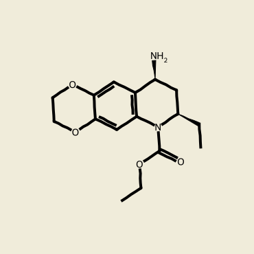 CCOC(=O)N1c2cc3c(cc2[C@@H](N)C[C@H]1CC)OCCO3